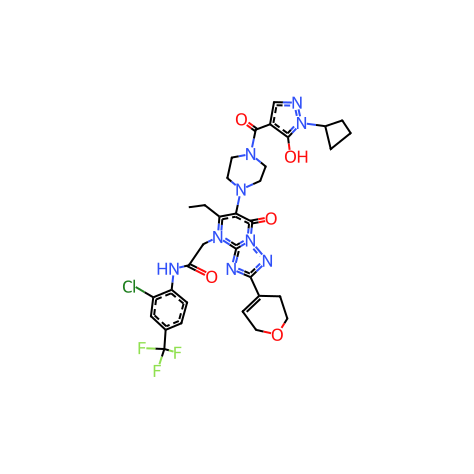 CCc1c(N2CCN(C(=O)c3cnn(C4CCC4)c3O)CC2)c(=O)n2nc(C3=CCOCC3)nc2n1CC(=O)Nc1ccc(C(F)(F)F)cc1Cl